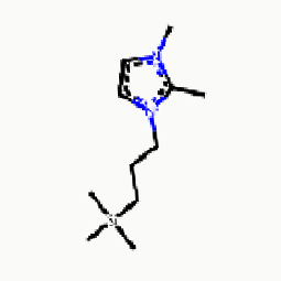 Cc1n(C)cc[n+]1CCC[Si](C)(C)C